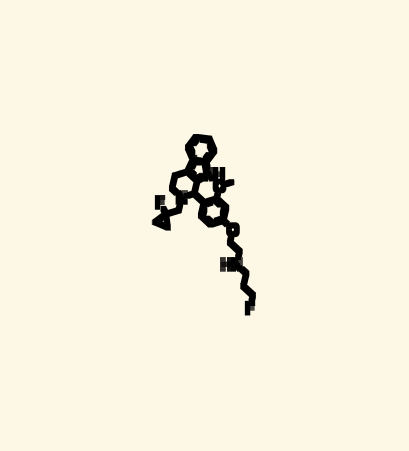 COc1cc(OCCNCCCF)ccc1C1c2[nH]c3ccccc3c2CCN1CC1(F)CC1